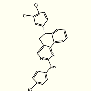 [CH2]Cc1ccc(Nc2ncc3c(n2)-c2ccccc2[C@@H](c2ccc(Cl)c(Cl)c2)C3)cc1